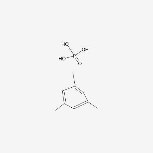 Cc1cc(C)cc(C)c1.O=P(O)(O)O